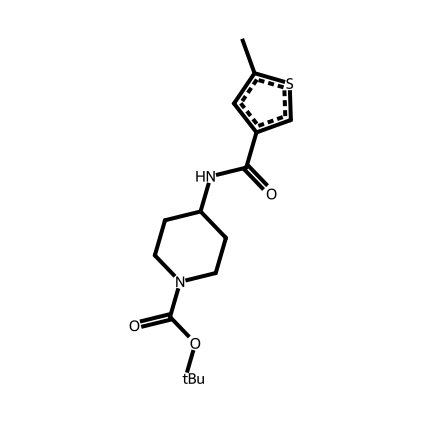 Cc1cc(C(=O)NC2CCN(C(=O)OC(C)(C)C)CC2)cs1